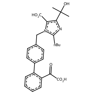 CCCCc1nc(C(C)(C)O)c(C(=O)O)n1Cc1ccc(-c2ccccc2C(=O)C(=O)O)cc1